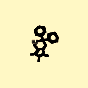 CC1=C(C)C(CC(P)(c2ccccc2)c2ccccc2)C(C)=C1C